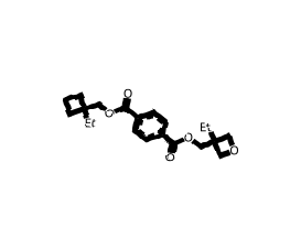 CCC1(COC(=O)c2ccc(C(=O)OCC3(CC)COC3)cc2)CCC1